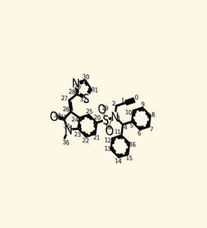 C#CCN(C(c1ccccc1)c1ccccc1)S(=O)(=O)c1ccc2c(c1)/C(=C\c1nccs1)C(=O)N2C